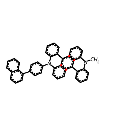 CN(c1ccccc1)c1ccccc1-c1ccc(-c2ccccc2N(c2ccccc2)c2ccc(-c3cccc4ccccc34)cc2)cc1